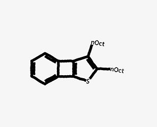 CCCCCCCCc1sc2c(c1CCCCCCCC)-c1ccccc1-2